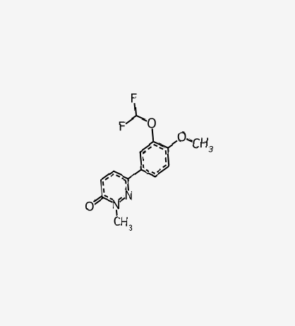 COc1ccc(-c2ccc(=O)n(C)n2)cc1OC(F)F